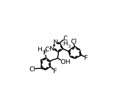 Cc1nn(C)c(C(O)c2c(F)cc(Cl)cc2F)c1-c1ccc(F)cc1Cl